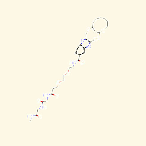 CNC(=O)CNC(=O)CNC(=O)CCOCCOCCNC(=O)c1ccc2nc3c(nc2c1)CSC1CCCCCCCC(C1)SC3